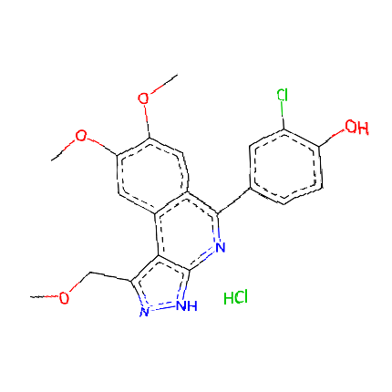 COCc1n[nH]c2nc(-c3ccc(O)c(Cl)c3)c3cc(OC)c(OC)cc3c12.Cl